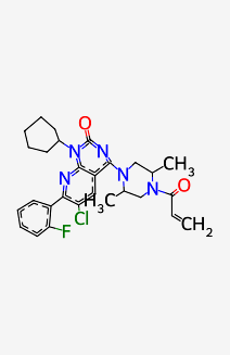 C=CC(=O)N1CC(C)N(c2nc(=O)n(C3CCCCC3)c3nc(-c4ccccc4F)c(Cl)cc23)CC1C